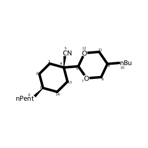 CCCCC[C@H]1CC[C@](C#N)(C2OCC(CCCC)CO2)CC1